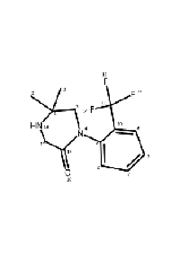 CC1(C)CN(c2ccccc2C(F)(F)F)C(=O)CN1